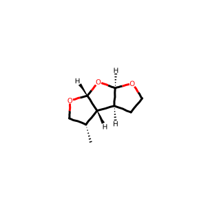 C[C@@H]1CO[C@@H]2O[C@H]3OCC[C@H]3[C@@H]21